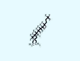 CC[Si](CC)(CC)C(F)(F)C(F)(F)C(F)(F)C(F)(F)C(F)(F)C(F)(F)C(F)(F)CCC(F)(F)F